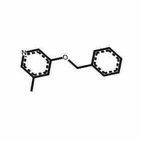 Cc1cncc(OCc2ccccc2)c1